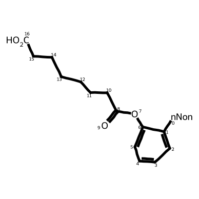 CCCCCCCCCc1ccccc1OC(=O)CCCCCCC(=O)O